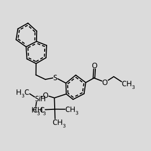 CCOC(=O)c1ccc(C(O[SiH](C)C)C(C)(C)C)c(SCCc2ccc3ccccc3c2)c1